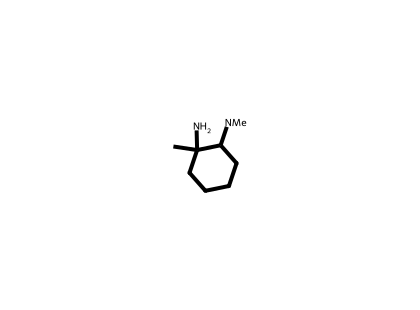 CNC1CCCCC1(C)N